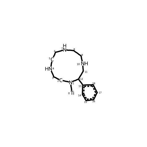 [Ti][N]1CCNCCNCCNCC1c1ccccc1